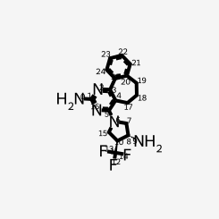 Nc1nc2c(c(N3C[C@H](N)[C@@H](C(F)(F)F)C3)n1)CCCc1ccccc1-2